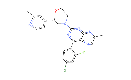 Cc1cc([C@H]2CN(c3nc(-c4ccc(Cl)cc4F)c4ncc(C)nc4n3)CCO2)ccn1